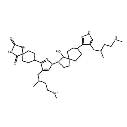 CNCCN(C)Cc1c[nH]nc1C1CCC2(CC1)CCN(n1cc(CN(C)CCNC)c(C3CCC4(CC3)NC(=O)NC4=O)n1)C2O